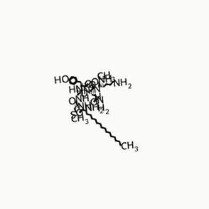 CCCCCCCCCCCCCCCCC(N)C(=O)N[C@@H](CCSC)C(=O)NCC(=O)N[C@@H](Cc1ccc(O)cc1)C(=O)N[C@@H](CCC(N)=O)C(=O)N[C@@H](CCCCN)C(=O)NC